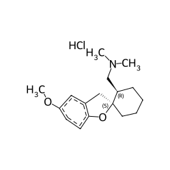 COc1ccc2c(c1)C[C@]1(CCCC[C@@H]1CN(C)C)O2.Cl